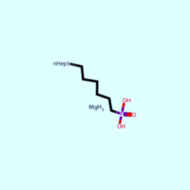 CCCCCCCCCCCCCP(=O)(O)O.[MgH2]